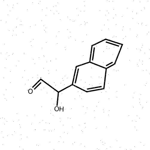 O=[C]C(O)c1ccc2ccccc2c1